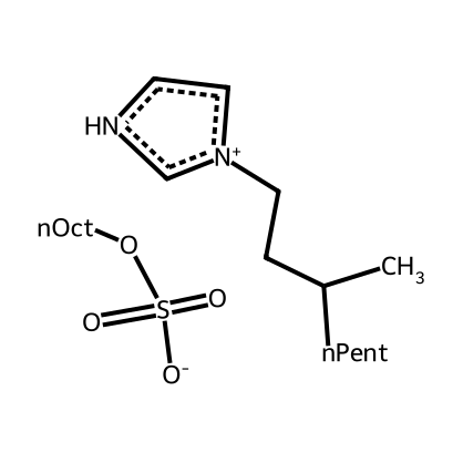 CCCCCC(C)CC[n+]1cc[nH]c1.CCCCCCCCOS(=O)(=O)[O-]